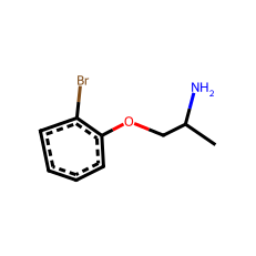 CC(N)COc1ccccc1Br